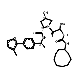 Cc1ncsc1-c1ccc([C@H](C)NC(=O)[C@@H]2C[C@@H](O)CN2C(=O)C(NC(=O)BC2CCCCCCCC2)C(C)(C)C)cc1